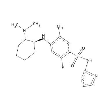 CN(C)[C@H]1CCCC[C@@H]1Nc1cc(F)c(S(=O)(=O)Nc2nccs2)cc1C(F)(F)F